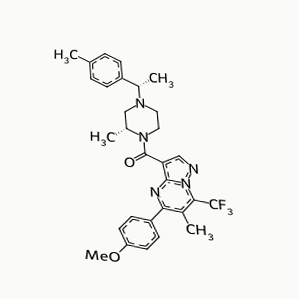 COc1ccc(-c2nc3c(C(=O)N4CCN([C@@H](C)c5ccc(C)cc5)C[C@H]4C)cnn3c(C(F)(F)F)c2C)cc1